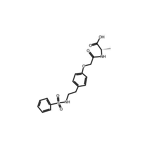 C[C@H](NC(=O)COc1ccc(CCNS(=O)(=O)c2ccccc2)cc1)C(=O)O